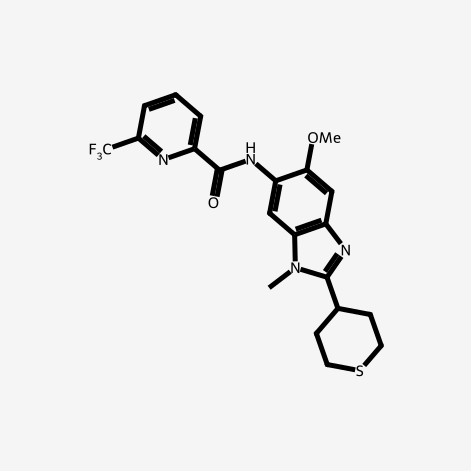 COc1cc2nc(C3CCSCC3)n(C)c2cc1NC(=O)c1cccc(C(F)(F)F)n1